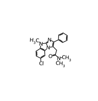 CN(C)C(=O)Cc1c(-c2ccccc2)nc2n(C)c3ccc(Cl)cc3n12